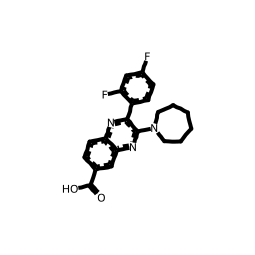 O=C(O)c1ccc2nc(-c3ccc(F)cc3F)c(N3CCCCCC3)nc2c1